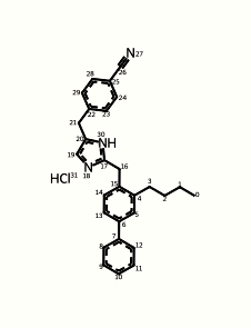 CCCCc1cc(-c2ccccc2)ccc1Cc1ncc(Cc2ccc(C#N)cc2)[nH]1.Cl